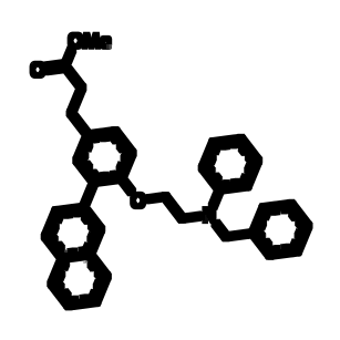 COC(=O)CCc1ccc(OCCN(Cc2ccccc2)c2ccccc2)c(-c2ccc3ccccc3c2)c1